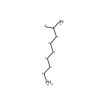 CC(C)C(C)CCCCCCP